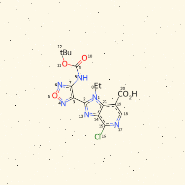 CCn1c(-c2nonc2NC(=O)OC(C)(C)C)nc2c(Cl)ncc(C(=O)O)c21